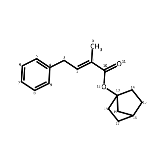 CC(=CCc1ccccc1)C(=O)OC12CCC(CC1)C2